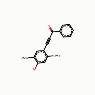 COc1cc(C#CC(=O)c2ccccc2)c(OC)cc1Br